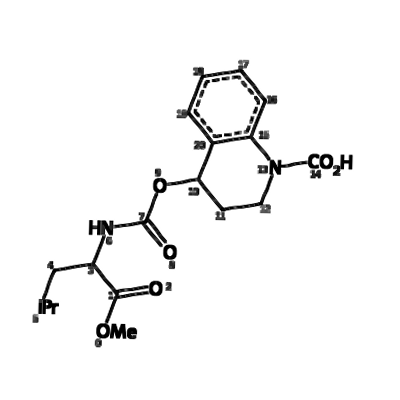 COC(=O)C(CC(C)C)NC(=O)OC1CCN(C(=O)O)c2ccccc21